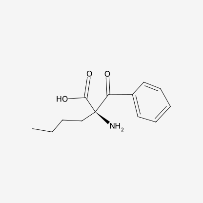 CCCC[C@](N)(C(=O)O)C(=O)c1ccccc1